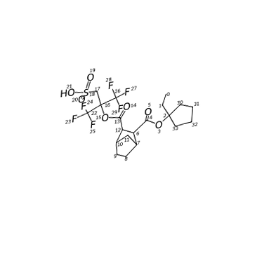 CCC1(OC(=O)C2C3CCC(C3)C2C(=O)OC(CS(=O)(=O)O)(C(F)(F)F)C(F)(F)F)CCCC1